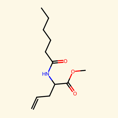 C=CCC(NC(=O)CCCCC)C(=O)OC